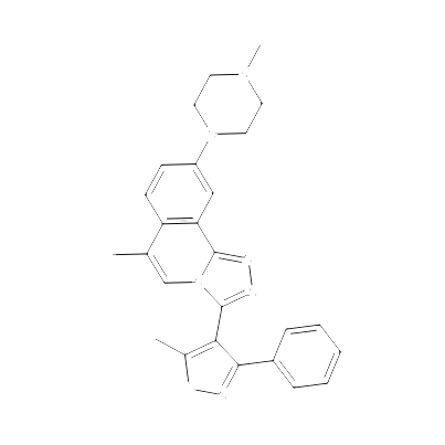 Cc1onc(-c2ccccc2)c1-c1nnc2c3cc(N4CCN(C)CC4)ccc3c(Cl)cn12